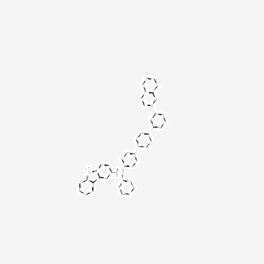 c1ccc(N(c2ccc(-c3ccc(-c4cccc(-c5ccc6ccccc6c5)c4)cc3)cc2)c2ccc3sc4ccccc4c3c2)cc1